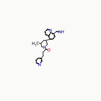 CC1CC(c2ccc(C=N)c3ncccc23)CN(C(=O)CCc2cccnc2)C1